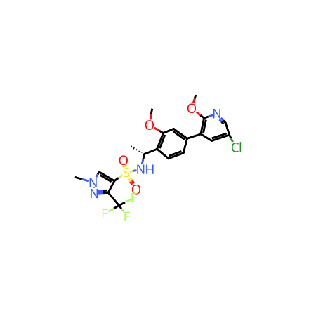 COc1cc(-c2cc(Cl)cnc2OC)ccc1[C@@H](C)NS(=O)(=O)c1cn(C)nc1C(F)(F)F